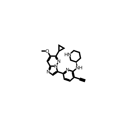 C#Cc1ccc(-c2cnc3cc(OC)c(C4CC4)nn23)nc1N[C@@H]1CCCNC1